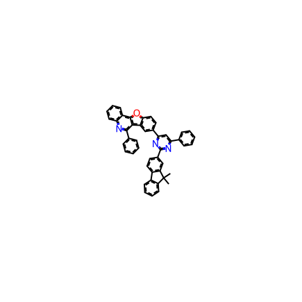 CC1(C)c2ccccc2-c2ccc(-c3nc(-c4ccccc4)cc(-c4ccc5oc6c7ccccc7nc(-c7ccccc7)c6c5c4)n3)cc21